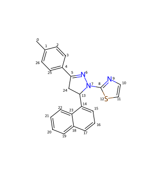 Cc1ccc(C2=NN(c3nccs3)C(c3cccc4ccccc34)C2)cc1